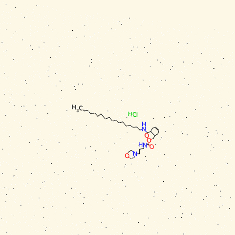 CCCCCCCCCCCCCCCCCCNC(=O)C1CC=CCC1COC(=O)NCCCN1CCOCC1.Cl